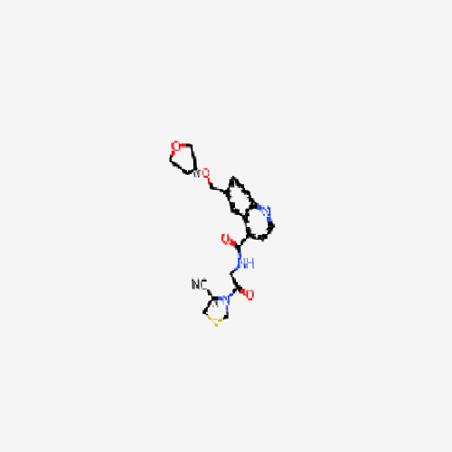 N#C[C@@H]1CSCN1C(=O)CNC(=O)c1ccnc2ccc(CO[C@@H]3CCOC3)cc12